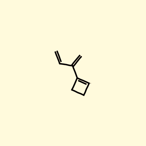 C=CC(=C)C1=[C]CC1